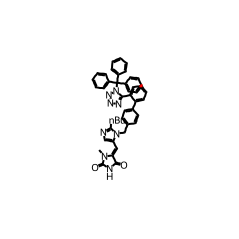 CCCCc1ncc(C=C2C(=O)NC(=O)N2C)n1Cc1ccc(-c2ccccc2-c2nnnn2C(c2ccccc2)(c2ccccc2)c2ccccc2)cc1